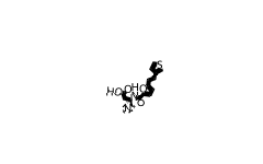 C[N+](C)(C)C[C@@H](CC(=O)O)NC(=O)c1ccc(CCc2ccsc2)o1